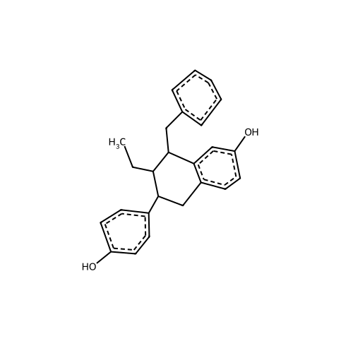 CCC1C(c2ccc(O)cc2)Cc2ccc(O)cc2C1Cc1ccccc1